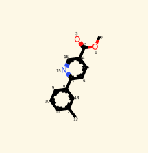 COC(=O)c1ccc(-c2cccc(C)c2)nc1